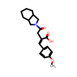 COc1ccc(C=C(CC(=O)N2CC3CCCCC3C2)C(=O)O)cc1